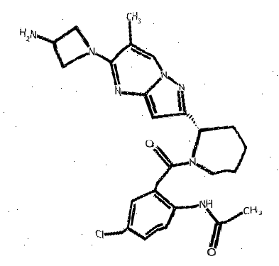 CC(=O)Nc1ccc(Cl)cc1C(=O)N1CCCC[C@H]1c1cc2nc(N3CC(N)C3)c(C)cn2n1